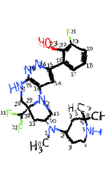 CN(C1CCNC(C)(C)C1)[C@H]1CN2c3cc(-c4cccc(F)c4O)nnc3NC[C@@]2(C(F)F)C1